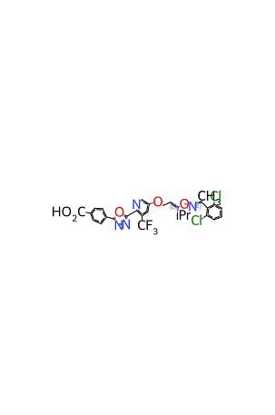 C/C(=N\O/C(=C/COc1cnc(-c2nnc(-c3ccc(C(=O)O)cc3)o2)c(C(F)(F)F)c1)C(C)C)c1c(Cl)cccc1Cl